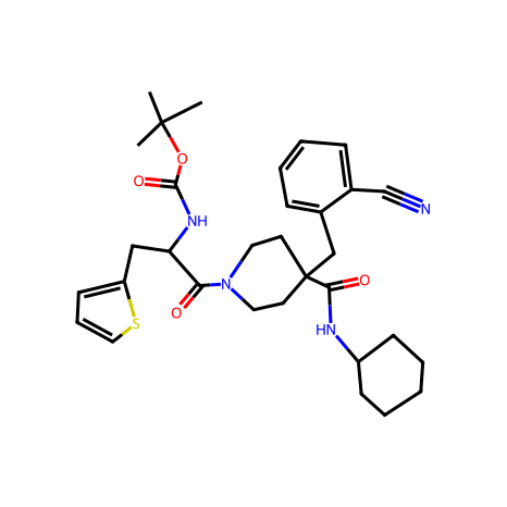 CC(C)(C)OC(=O)NC(Cc1cccs1)C(=O)N1CCC(Cc2ccccc2C#N)(C(=O)NC2CCCCC2)CC1